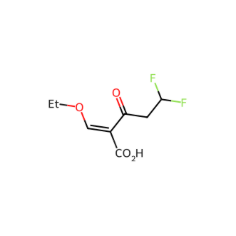 CCOC=C(C(=O)O)C(=O)CC(F)F